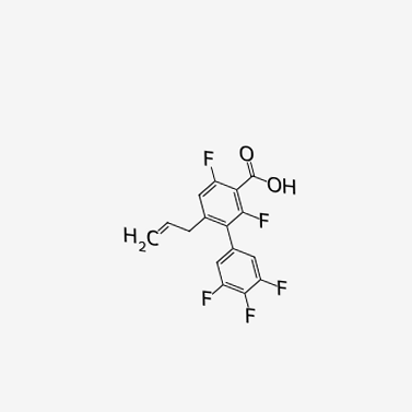 C=CCc1cc(F)c(C(=O)O)c(F)c1-c1cc(F)c(F)c(F)c1